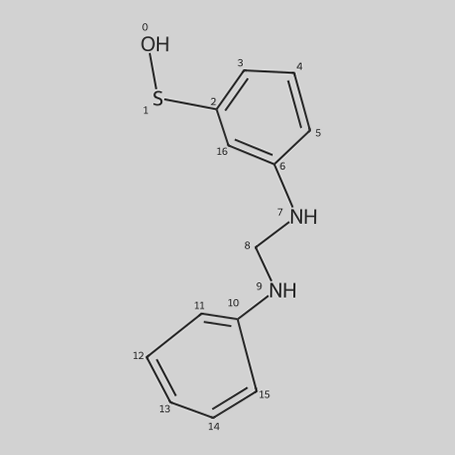 OSc1cccc(NCNc2ccccc2)c1